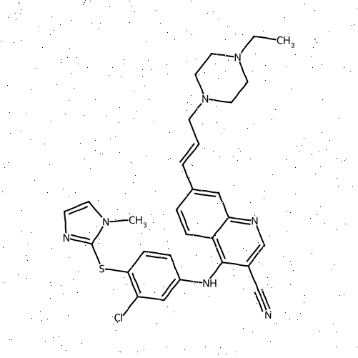 CCN1CCN(CC=Cc2ccc3c(Nc4ccc(Sc5nccn5C)c(Cl)c4)c(C#N)cnc3c2)CC1